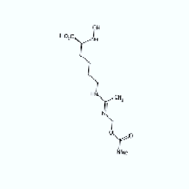 CNC(=O)OC/N=C(\C)NCCCC[C@H](NO)C(=O)O